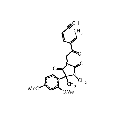 C#C/C=C\C(=C/C)C(=O)CN1C(=O)N(C)C(C)(c2ccc(OC)cc2OC)C1=O